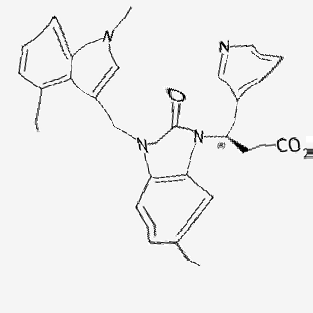 Cc1ccc2c(c1)n([C@H](CC(=O)O)c1cccnc1)c(=O)n2Cc1cn(C)c2cccc(C)c12